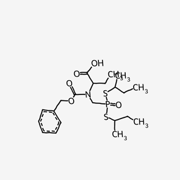 CCC(C)SP(=O)(CN(C(=O)OCc1ccccc1)C(CC)C(=O)O)SC(C)CC